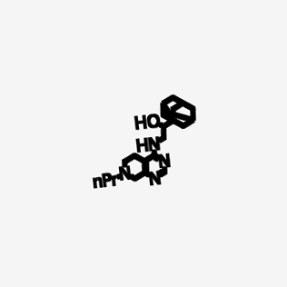 CCCN1CCc2c(ncnc2NCC(O)C23CC4CC(CC(C4)C2)C3)C1